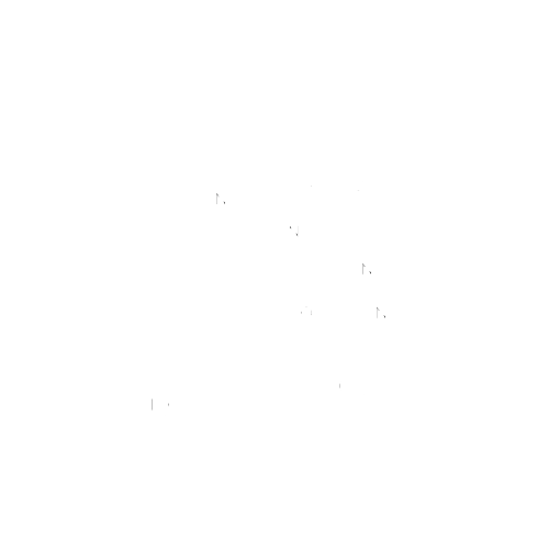 Cc1cc(=O)n(-c2nnc(C(F)(F)F)o2)c([C@H]2CC[C@@H](C(F)(F)F)CC2)n1